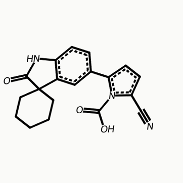 N#Cc1ccc(-c2ccc3c(c2)C2(CCCCC2)C(=O)N3)n1C(=O)O